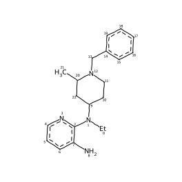 CCN(c1ncccc1N)C1CCN(Cc2ccccc2)C(C)C1